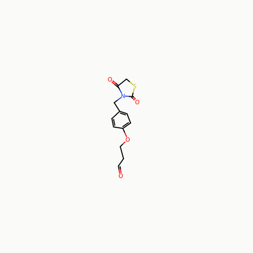 O=CCCOc1ccc(CN2C(=O)CSC2=O)cc1